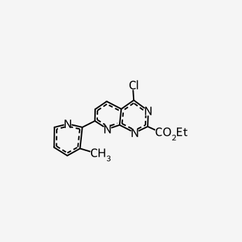 CCOC(=O)c1nc(Cl)c2ccc(-c3ncccc3C)nc2n1